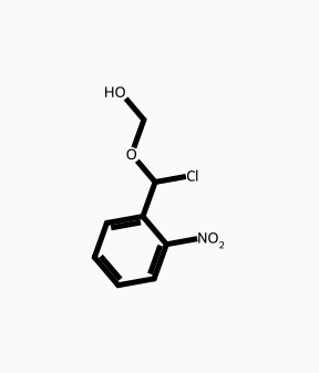 O=[N+]([O-])c1ccccc1C(Cl)OCO